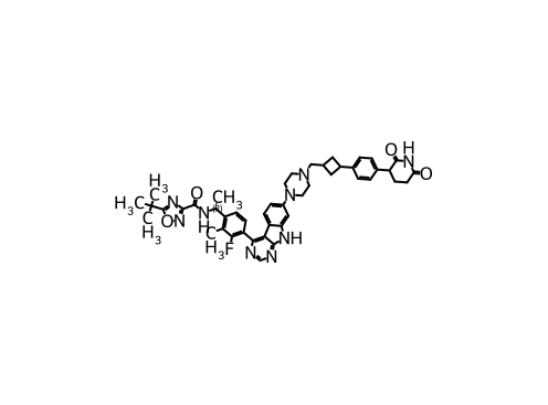 Cc1c([C@@H](C)NC(=O)c2noc(C(C)(C)C)n2)ccc(-c2ncnc3[nH]c4cc(N5CCN(CC6CC(c7ccc(C8CCC(=O)NC8=O)cc7)C6)CC5)ccc4c23)c1F